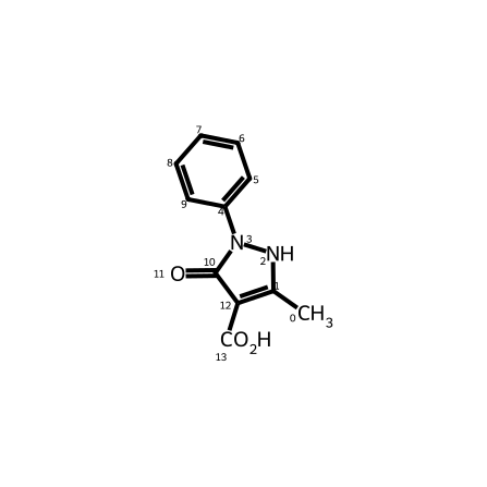 Cc1[nH]n(-c2ccccc2)c(=O)c1C(=O)O